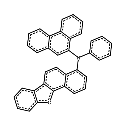 c1ccc(N(c2cc3ccccc3c3ccccc23)c2cccc3c2ccc2c4ccccc4oc32)cc1